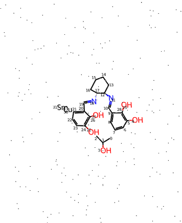 CC(C)O.Oc1cccc(C=N[C@@H]2CCCC[C@H]2N=Cc2cccc(O)c2O)c1O.[Cu].[Sm]